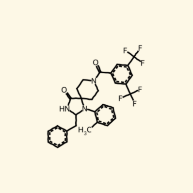 Cc1ccccc1N1C(Cc2ccccc2)NC(=O)C12CCN(C(=O)c1cc(C(F)(F)F)cc(C(F)(F)F)c1)CC2